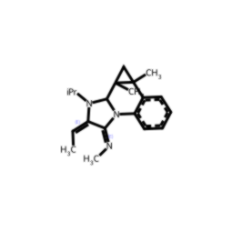 C/C=C1\C(=N/C)N2c3ccccc3C3(C)CC3(C)C2N1C(C)C